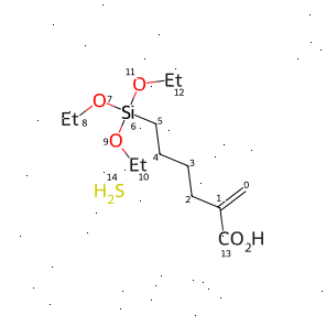 C=C(CCCC[Si](OCC)(OCC)OCC)C(=O)O.S